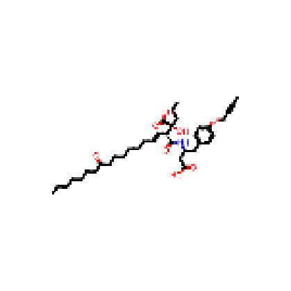 CC#CCOc1ccc(C[C@@H](CC(=O)O)NC(=O)[C@@H](/C=C/CCCCCCC(=O)CCCCCCC)[C@@](O)(CCC)C(=O)O)cc1